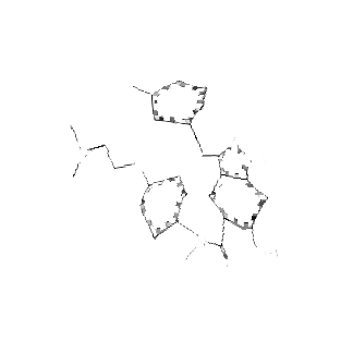 Cc1cccc(Cc2n[nH]c3cc(O)c(C(=O)N(C)c4ccc(OCCN(C)C)cc4)cc23)c1